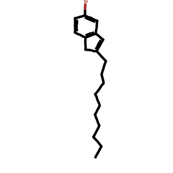 CCCCCCCCCCC1=Cc2cc(Br)ccc2C1